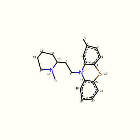 Cc1ccc2c(c1)N(CCC1CCCCN1C)c1ccccc1S2